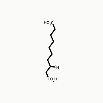 [2H]C(CCCCCCC(=O)O)CC(=O)O